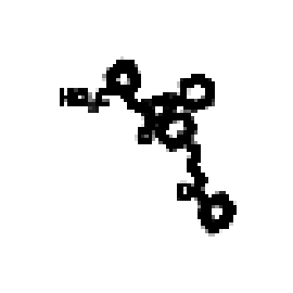 O=C(CCCN1CCC2(CC1)C(=O)N(Cc1ccccc1C(=O)O)CN2C1CCCCC1)c1ccccc1